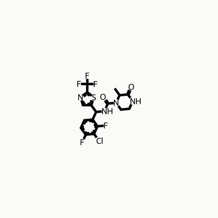 CC1C(=O)NCCN1C(=O)NC(c1cnc(C(F)(F)F)s1)c1ccc(F)c(Cl)c1F